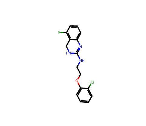 Fc1cccc2c1CNC(NCCOc1ccccc1Cl)=N2